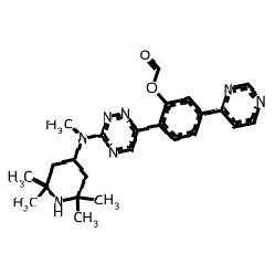 CN(c1ncc(-c2ccc(-c3ccncn3)cc2OC=O)nn1)C1CC(C)(C)NC(C)(C)C1